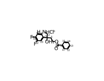 Cl.NCC(O)(CCOC(=O)c1ccccc1)c1ccc(F)c(F)c1